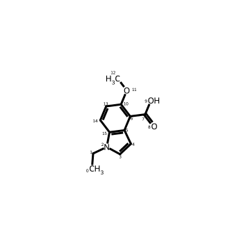 CCn1ccc2c(C(=O)O)c(OC)ccc21